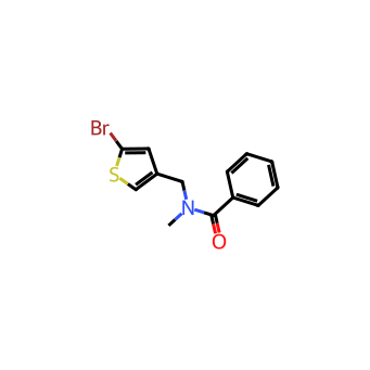 CN(Cc1csc(Br)c1)C(=O)c1ccccc1